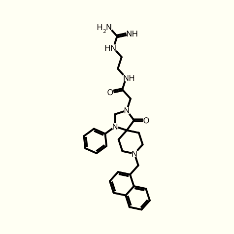 N=C(N)NCCNC(=O)CN1CN(c2ccccc2)C2(CCN(Cc3cccc4ccccc34)CC2)C1=O